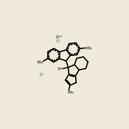 CC(C)C1(C2c3cc(C(C)(C)C)ccc3-c3ccc(C(C)(C)C)cc32)C2=C(CC(C(C)(C)C)=C2)C2CCCCC21.[Cl-].[Cl-].[Zr+2]